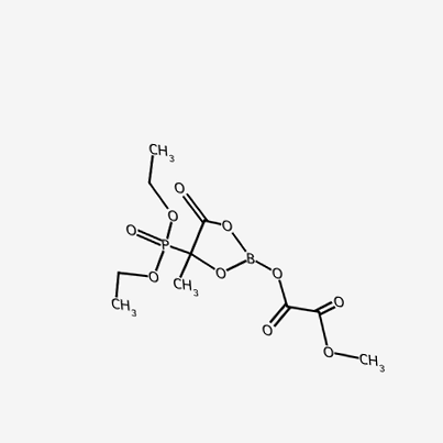 CCOP(=O)(OCC)C1(C)OB(OC(=O)C(=O)OC)OC1=O